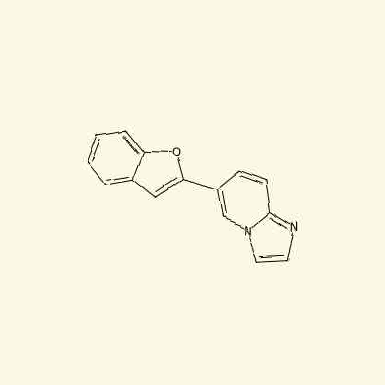 c1ccc2oc(-c3ccc4nccn4c3)cc2c1